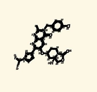 Cc1nc2nc(-c3ccn(C(F)F)n3)c(O[C@H]3CCN4C(=O)OC[C@@H]4C3)cc2c(=O)n1Cc1ccc(Cl)cc1